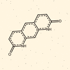 O=c1ccc2cc3ccc(=O)[nH]c3cc2[nH]1